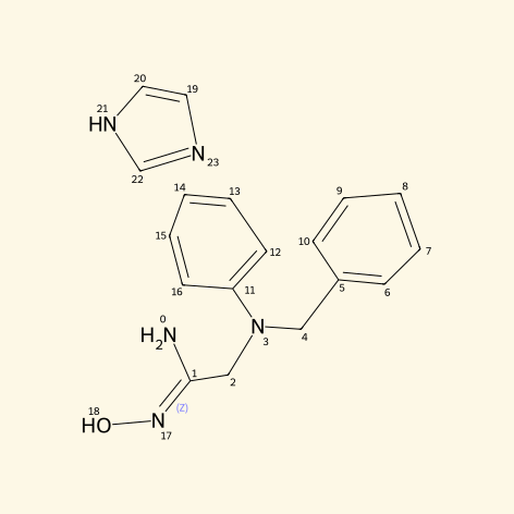 N/C(CN(Cc1ccccc1)c1ccccc1)=N\O.c1c[nH]cn1